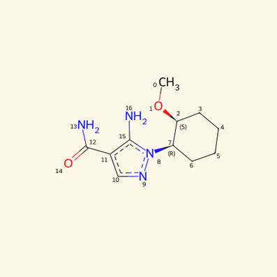 CO[C@H]1CCCC[C@H]1n1ncc(C(N)=O)c1N